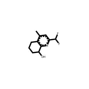 Cc1cc(C(F)F)nc2c1CCCC2O